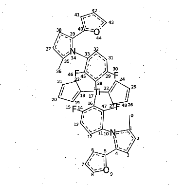 Cc1ccc(-c2ccco2)n1-c1ccc(F)[c]([Ti]([C]2=CC=CC2)([C]2=CC=CC2)[c]2c(F)ccc(-n3c(C)ccc3-c3ccco3)c2F)c1F